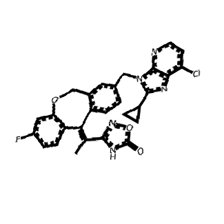 C/C(=C1/c2ccc(Cn3c(C4CC4)nc4c(Cl)ccnc43)cc2COc2cc(F)ccc21)c1noc(=O)[nH]1